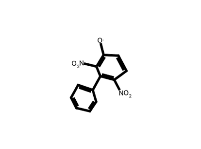 [O]c1ccc([N+](=O)[O-])c(-c2ccccc2)c1[N+](=O)[O-]